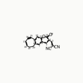 N#CC(C#N)=Cc1cc2cc3c(cc2oc1=O)C#C/C=C\CC3